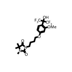 COc1cc(OCCCCN2C(=O)N(C)C(C)(C)C2=O)ccc1C(O)(C(F)(F)F)C(F)(F)F